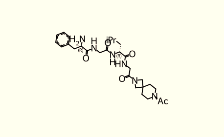 CC(=O)N1CCC2(CC1)CN(C(=O)CNC(=O)[C@@H](CC(C)C)NC(=O)CNC(=O)[C@H](N)Cc1ccccc1)C2